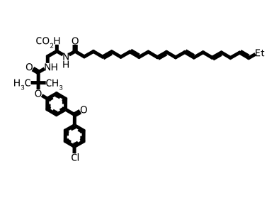 CCC=CCC=CCC=CCC=CCC=CCC=CCCC(=O)NC(CNC(=O)C(C)(C)Oc1ccc(C(=O)c2ccc(Cl)cc2)cc1)C(=O)O